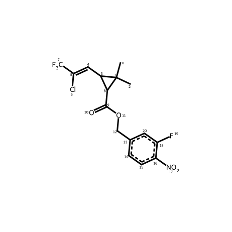 CC1(C)C(C=C(Cl)C(F)(F)F)C1C(=O)OCc1ccc([N+](=O)[O-])c(F)c1